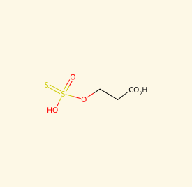 O=C(O)CCOS(=O)(O)=S